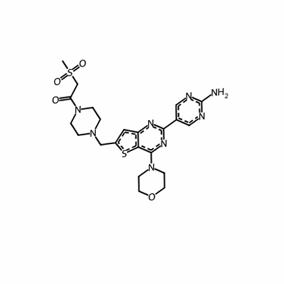 CS(=O)(=O)CC(=O)N1CCN(Cc2cc3nc(-c4cnc(N)nc4)nc(N4CCOCC4)c3s2)CC1